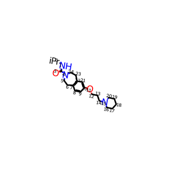 CC(C)NC(=O)N1CCc2ccc(OCCCN3CCCCC3)cc2CC1